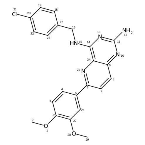 COc1ccc(-c2ccc3nc(N)nc(NCc4ccc(Cl)cc4)c3n2)cc1OC